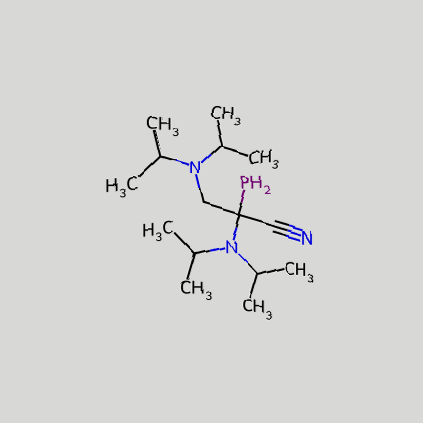 CC(C)N(CC(P)(C#N)N(C(C)C)C(C)C)C(C)C